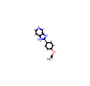 C#COc1ccc(-c2nc3cnccc3[nH]2)cc1